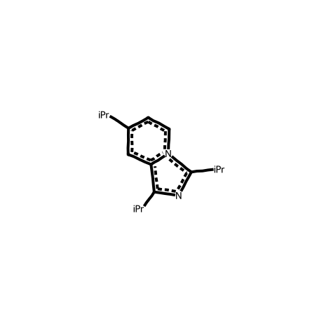 CC(C)c1ccn2c(C(C)C)nc(C(C)C)c2c1